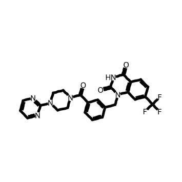 O=C(c1cccc(Cn2c(=O)[nH]c(=O)c3ccc(C(F)(F)F)cc32)c1)N1CCN(c2ncccn2)CC1